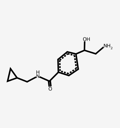 NCC(O)c1ccc(C(=O)NCC2CC2)cc1